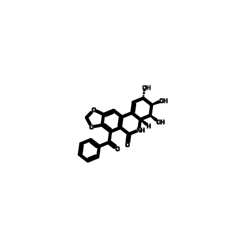 O=C1N[C@@H]2C(=C[C@H](O)[C@@H](O)[C@H]2O)c2cc3c(c(C(=O)c4ccccc4)c21)OCO3